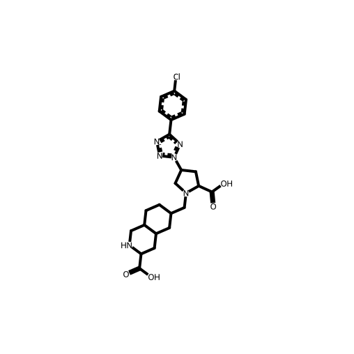 O=C(O)C1CC2CC(CN3CC(n4nnc(-c5ccc(Cl)cc5)n4)CC3C(=O)O)CCC2CN1